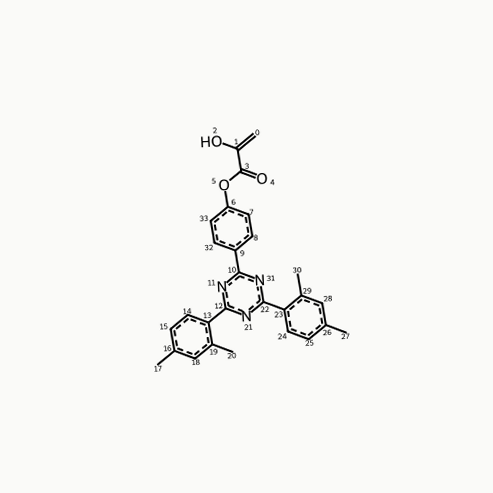 C=C(O)C(=O)Oc1ccc(-c2nc(-c3ccc(C)cc3C)nc(-c3ccc(C)cc3C)n2)cc1